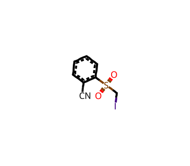 N#Cc1ccccc1S(=O)(=O)CI